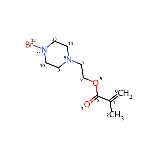 C=C(C)C(=O)OCCN1CCN(Br)CC1